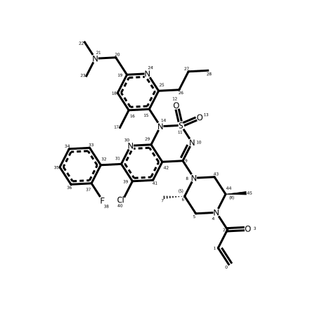 C=CC(=O)N1C[C@H](C)N(C2=NS(=O)(=O)N(c3c(C)cc(CN(C)C)nc3CCC)c3nc(-c4ccccc4F)c(Cl)cc32)C[C@H]1C